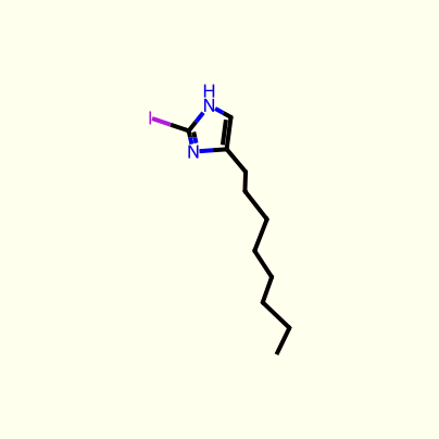 CCCCCCCCc1c[nH]c(I)n1